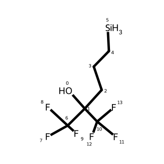 OC(CCC[SiH3])(C(F)(F)F)C(F)(F)F